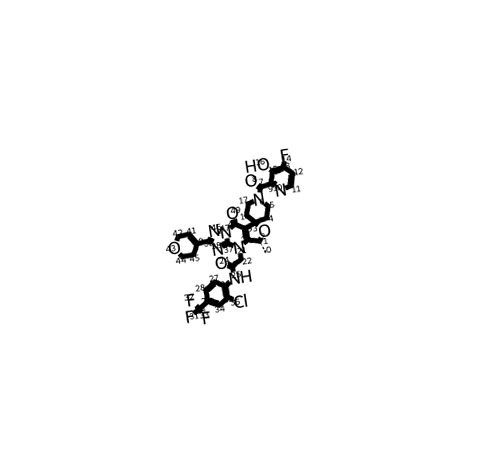 C[C@H]1OC2(CCN(C(=O)c3nccc(F)c3O)CC2)c2c1n(CC(=O)Nc1ccc(C(F)(F)F)cc1Cl)c1nc(C3=CCOCC3)nn1c2=O